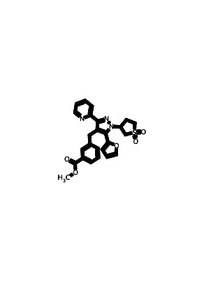 COC(=O)c1cccc(Cc2c(-c3ccccn3)nn(C3CCS(=O)(=O)C3)c2-c2ccco2)c1